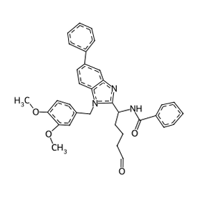 COc1ccc(Cn2c(C(CCCC=O)NC(=O)c3ccccc3)nc3cc(-c4ccccc4)ccc32)cc1OC